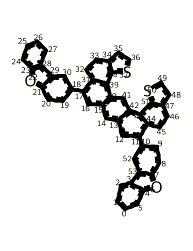 c1ccc2c(c1)oc1ccc(-c3cc4cc5cc(-c6ccc7oc8ccccc8c7c6)c6ccc7ccsc7c6c5cc4c4c3ccc3ccsc34)cc12